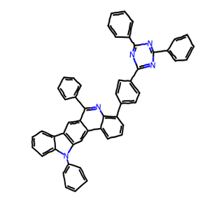 c1ccc(-c2nc(-c3ccccc3)nc(-c3ccc(-c4cccc5c4nc(-c4ccccc4)c4cc6c7ccccc7n(-c7ccccc7)c6cc45)cc3)n2)cc1